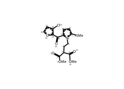 COC(=O)C(CCn1c(SC)ccc1C(=O)c1occc1Cl)C(=O)OC